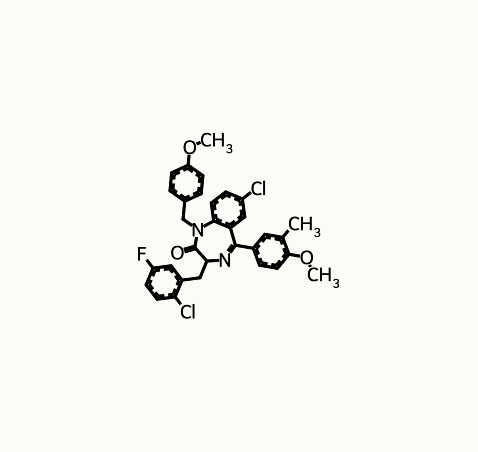 COc1ccc(CN2C(=O)C(Cc3cc(F)ccc3Cl)N=C(c3ccc(OC)c(C)c3)c3cc(Cl)ccc32)cc1